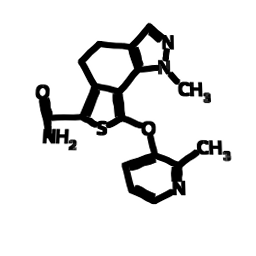 Cc1ncccc1Oc1sc(C(N)=O)c2c1-c1c(cnn1C)CC2